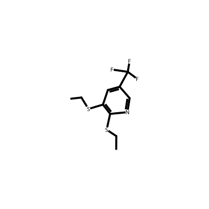 CCSc1cc(C(F)(F)F)cnc1SCC